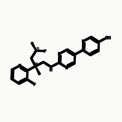 C[C@@H](F)C[C@](C)(CNc1ncc(-c2ccc(O)cn2)cn1)c1ncccc1F